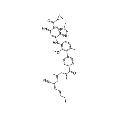 CC/C=C/C=C(C#N)\C=C(/C)CN(C)C(=O)c1ccc(-c2c(C)ccc(N/C(=C/C(=N)NC(=O)C3CC3)c3nc(C)c[nH]3)c2OC)cn1